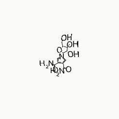 NC(=O)c1cn(C2OC(CO)C(O)C2O)cc1C(N)=O